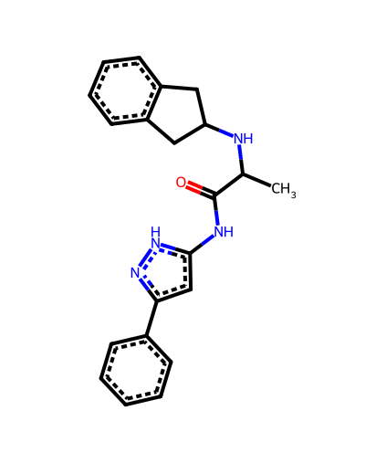 CC(NC1Cc2ccccc2C1)C(=O)Nc1cc(-c2ccccc2)n[nH]1